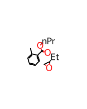 CCC1CO1.CCCOC(=O)c1ccccc1C